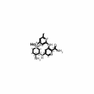 COc1cc(C)nc(Nc2cc(N[C@@H]3CS(O)(O)CC[C@@H]3N)cnc2C(N)=O)c1